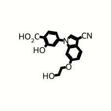 N#Cc1cn(-c2ccc(C(=O)O)c(O)c2)c2cc(OCCO)ccc12